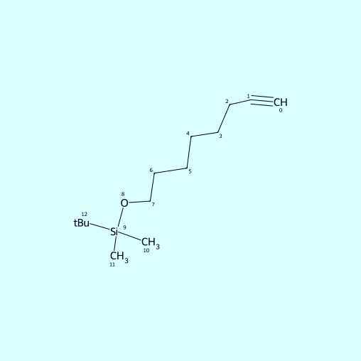 C#CCCCCCCO[Si](C)(C)C(C)(C)C